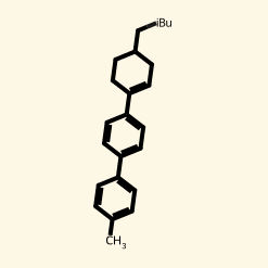 CCC(C)CC1CC=C(c2ccc(-c3ccc(C)cc3)cc2)CC1